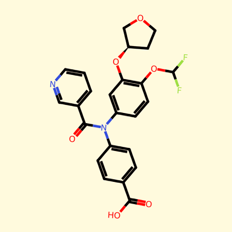 O=C(O)c1ccc(N(C(=O)c2cccnc2)c2ccc(OC(F)F)c(O[C@@H]3CCOC3)c2)cc1